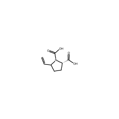 C=CC1CC[C@@H](C(=O)O)N1C(=O)O